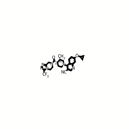 C[C@@H]1CN(c2c(C#N)cnc3cc(OC4CC4)ccc23)CC[C@@H]1C(=O)N1CCn2c(nnc2C(F)(F)F)C1